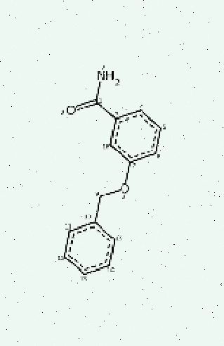 NC(=O)c1cccc(OCc2ccccc2)c1